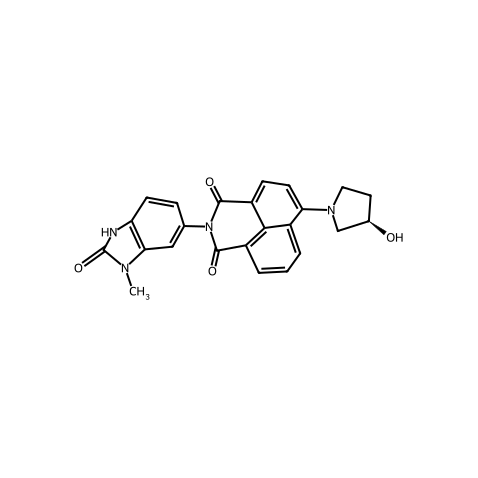 Cn1c(=O)[nH]c2ccc(N3C(=O)c4cccc5c(N6CC[C@@H](O)C6)ccc(c45)C3=O)cc21